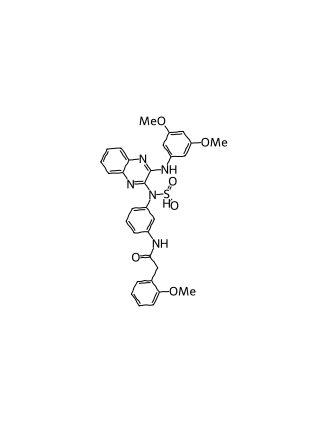 COc1cc(Nc2nc3ccccc3nc2N(c2cccc(NC(=O)Cc3ccccc3OC)c2)[SH](=O)=O)cc(OC)c1